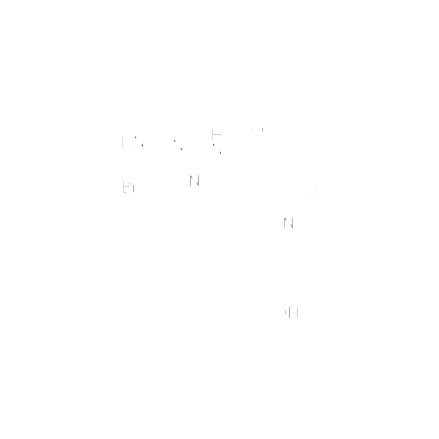 CNc1nc(Nc2ccc(C(=O)N3CCC(C(C)(C)O)CC3)cc2OC)ncc1Br